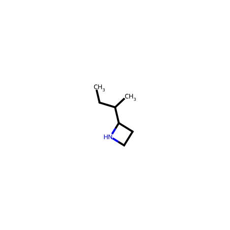 CCC(C)C1CCN1